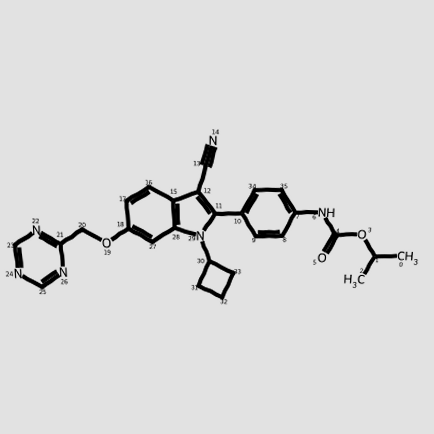 CC(C)OC(=O)Nc1ccc(-c2c(C#N)c3ccc(OCc4ncncn4)cc3n2C2CCC2)cc1